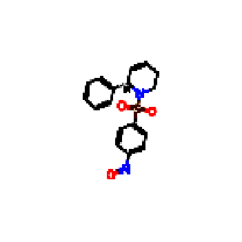 O=Nc1ccc(S(=O)(=O)N2CCC=C[C@H]2c2ccccc2)cc1